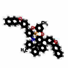 Cc1cc2c3c(c1)Oc1c(-c4ccc5oc6cc7ccccc7cc6c5c4)cc4c5c1P3c1c(ccc(-c3ccc6oc7cc8ccccc8cc7c6c3)c1O2)N5c1ccc(C)cc1C4(c1ccccc1)c1ccccc1